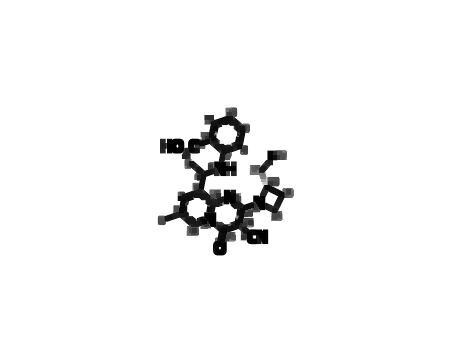 Cc1cc(C(C)Nc2ccccc2C(=O)O)c2nc(N3CC[C@H]3CF)c(C#N)c(=O)n2c1